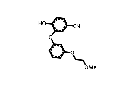 COCCOc1cccc(Oc2cc(C#N)ccc2O)c1